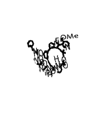 CCn1c(-c2cnccc2COC)c2c3cc(ccc31)-c1cc(O)cc(c1)C[C@H](NC(=O)[C@H](C(C)C)N(C)C(=O)CN(C)C(=O)[C@H]1CN1Cc1ccccc1)C(=O)N1CCC[C@H](N1)C(=O)OCC(C)(C)C2